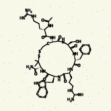 CC(=O)N[C@@H](CCCNC(=N)N)C(=O)N[C@H]1CCSSC(C)(C)[C@@H](C(N)=O)NC(=O)[C@H](Cc2c[nH]c3ccccc23)NC(=O)[C@H](CCCNC(=N)N)NC(=O)[C@@H](Cc2ccccc2)NC(=O)[C@H](CO)NC1=O